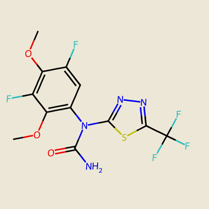 COc1c(F)cc(N(C(N)=O)c2nnc(C(F)(F)F)s2)c(OC)c1F